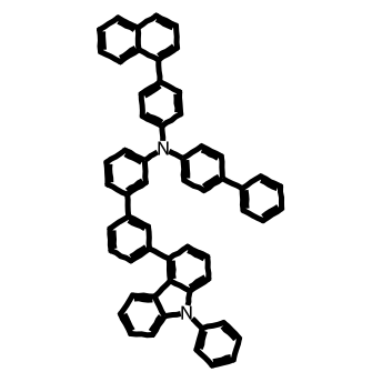 c1ccc(-c2ccc(N(c3ccc(-c4cccc5ccccc45)cc3)c3cccc(-c4cccc(-c5cccc6c5c5ccccc5n6-c5ccccc5)c4)c3)cc2)cc1